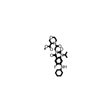 COC(=O)C1COCCN1C(=O)Cn1c(=O)c2cc(F)c(NC3CCCCC3)cc2n(C(C)C)c1=O